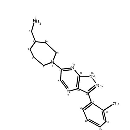 NCC1CCCN(c2cnc3c(-c4ccccc4Cl)n[nH]c3n2)CC1